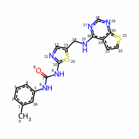 Cc1cccc(NC(=O)Nc2ncc(CNc3ncnc4sccc34)s2)c1